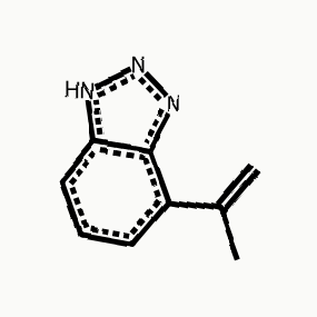 C=C(C)c1cccc2[nH]nnc12